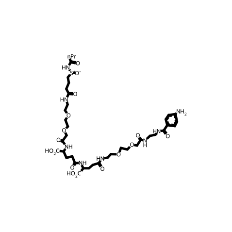 CCCC(=O)N[S+]([O-])CCCC(=O)NCCOCCOCC(=O)NC(CCC(=O)NC(CCC(=O)NCCOCCOCC(=O)NCCNC(=O)c1ccc(N)cc1)C(=O)O)C(=O)O